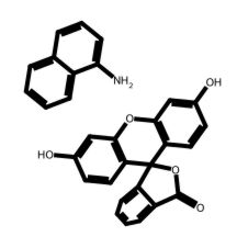 Nc1cccc2ccccc12.O=C1OC2(c3ccc(O)cc3Oc3cc(O)ccc32)c2ccccc21